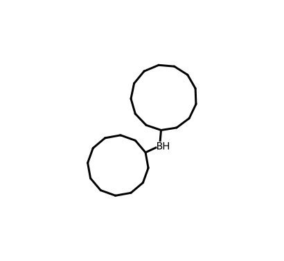 B(C1CCCCCCCCCCCC1)C1CCCCCCCCCCC1